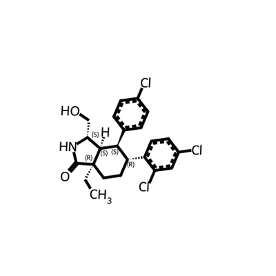 CC[C@@]12CC[C@@H](c3ccc(Cl)cc3Cl)[C@H](c3ccc(Cl)cc3)[C@@H]1[C@@H](CO)NC2=O